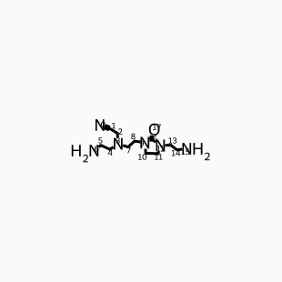 N#CCN(CCN)CCN1CCN(CCN)C1=O